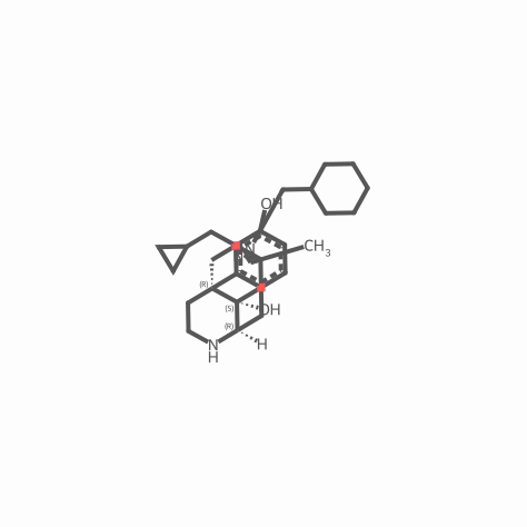 Cc1c2c(nn1CC1CCCCC1)C[C@]13CCN[C@H](Cc4ccc(O)c(CC5CC5)c41)[C@]3(O)C2